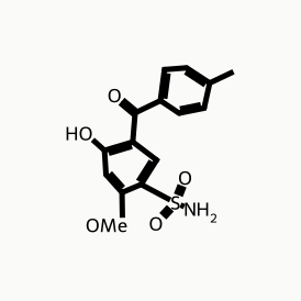 COc1cc(O)c(C(=O)c2ccc(C)cc2)cc1S(N)(=O)=O